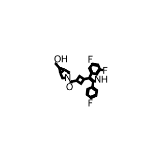 O=C(C1CC(c2c(-c3ccc(F)cc3)[nH]c3c(F)cc(F)cc23)C1)N1CC2C(CO)C2C1